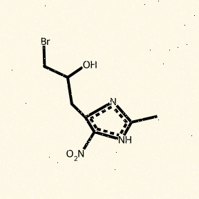 Cc1nc(CC(O)CBr)c([N+](=O)[O-])[nH]1